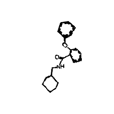 O=C(NCC1CCCCC1)c1ccccc1Oc1ccccc1